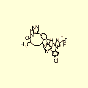 CC1CCC[C@H](n2cnc(-c3cc(Cl)ccc3N(N)/C=C(\N)C(F)(F)F)cc2=O)c2cccc(c2)-c2cnncc2NC1=O